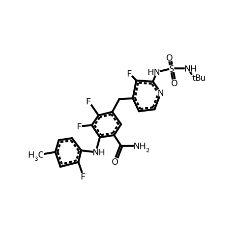 Cc1ccc(Nc2c(C(N)=O)cc(Cc3ccnc(NS(=O)(=O)NC(C)(C)C)c3F)c(F)c2F)c(F)c1